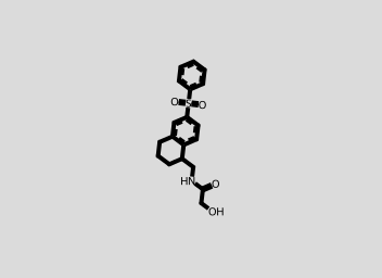 O=C(CO)NCC1CCCc2cc(S(=O)(=O)c3ccccc3)ccc21